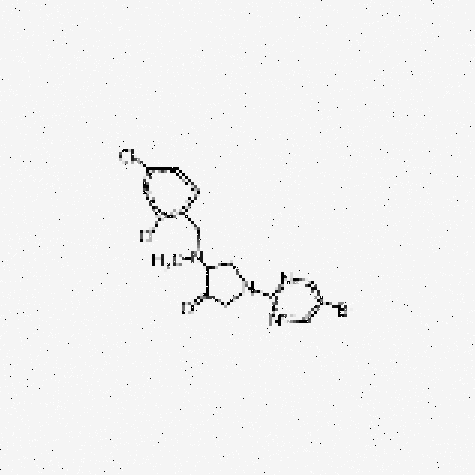 CN(Cc1ccc(Cl)cc1Cl)C1CN(c2ncc(Br)cn2)CC1=O